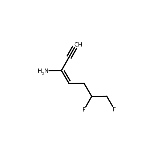 C#C/C(N)=C\CC(F)CF